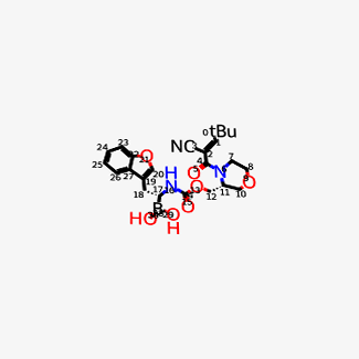 CC(C)(C)/C=C(\C#N)C(=O)N1CCOC[C@@H]1COC(=O)N[C@@H](Cc1coc2ccccc12)B(O)O